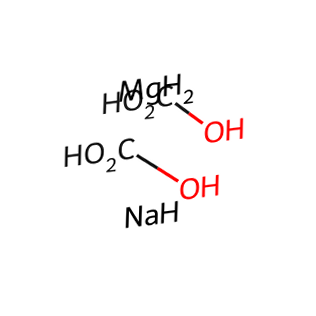 O=C(O)O.O=C(O)O.[MgH2].[NaH]